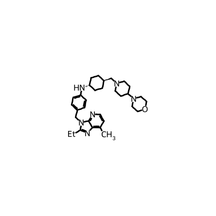 CCc1nc2c(C)ccnc2n1Cc1ccc(N[C@H]2CC[C@H](CN3CCC(N4CCOCC4)CC3)CC2)cc1